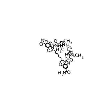 CCn1nc(C)cc1C(=O)Nc1nc2cc(C(N)=O)cc3c2n1[C@@H](C/C=C/CC[C@H]1COc2cc(C(N)=O)cc4nc(NC(=O)c5cc(C)nn5CC)n1c24)CO3